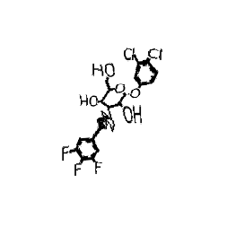 OCC1O[C@H](Oc2ccc(Cl)c(Cl)c2)C(O)[C@@H](n2c3c(-c4cc(F)c(F)c(F)c4)n2-3)[C@H]1O